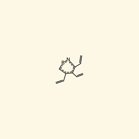 C=Cc1cbnc(C=C)c1C=C